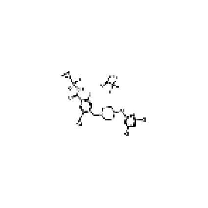 O=C(NS(=O)(=O)C1CC1)c1cc(C2CC2)c(CN2CCC(Oc3cc(Cl)cc(Cl)c3)CC2)cc1F.O=C(O)C(F)(F)F